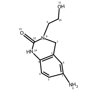 Nc1ccc2c(c1)CN(CCO)C(=O)N2